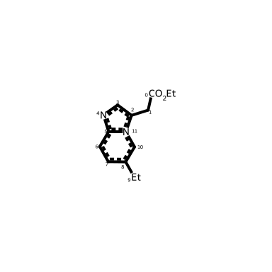 CCOC(=O)Cc1cnc2ccc(CC)cn12